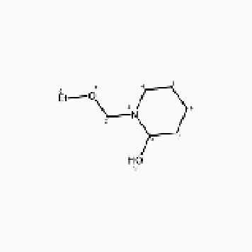 CCOCN1CCCCC1O